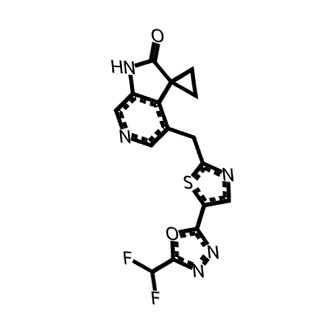 O=C1Nc2cncc(Cc3ncc(-c4nnc(C(F)F)o4)s3)c2C12CC2